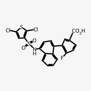 O=C(O)c1ccc(F)c(-c2ccc(NS(=O)(=O)c3cc(Cl)sc3Cl)c3ccccc23)c1